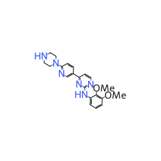 COc1cccc(Nc2nccc(-c3ccc(N4CCNCC4)nc3)n2)c1OC